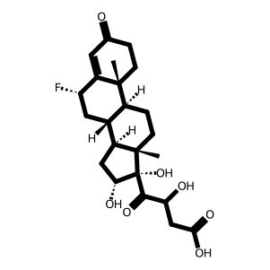 C[C@]12CCC(=O)C=C1[C@@H](F)C[C@@H]1[C@@H]2CC[C@@]2(C)[C@H]1C[C@@H](O)[C@]2(O)C(=O)C(O)CC(=O)O